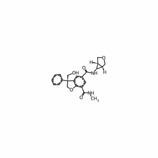 CNC(=O)c1cc(C(=O)N[C@H]2[C@@H]3COC[C@@H]32)cc2c1OC[C@]2(CO)c1ccccc1